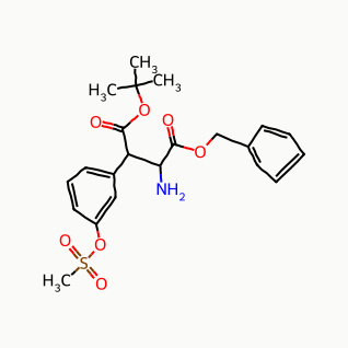 CC(C)(C)OC(=O)C(c1cccc(OS(C)(=O)=O)c1)C(N)C(=O)OCc1ccccc1